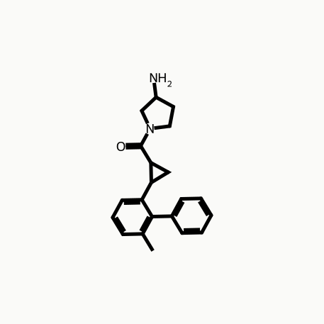 Cc1cccc(C2CC2C(=O)N2CCC(N)C2)c1-c1ccccc1